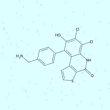 NCc1ccc(-c2c(O)c(Cl)c(Cl)c3[nH]c(=O)c4sccc4c23)cc1